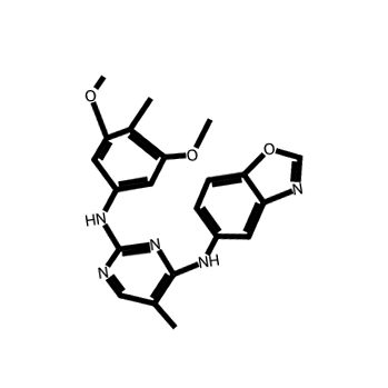 COc1cc(Nc2ncc(C)c(Nc3ccc4ocnc4c3)n2)cc(OC)c1C